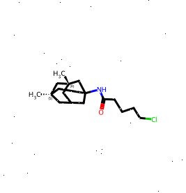 C[C@]12CC3CC(NC(=O)CCCCCl)(C1)C[C@@](C)(C3)C2